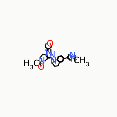 CC(=O)N1CCc2c(c(N3CCCc4cc(-c5cnn(C)c5)ccc43)nn2[C@@H]2CCOC2)C1